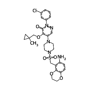 CC1(COc2c(N3CCN(S(=O)(=O)Cc4c(N)ccc5c4OCCO5)CC3)cnn(-c3cccc(Cl)c3)c2=O)CC1